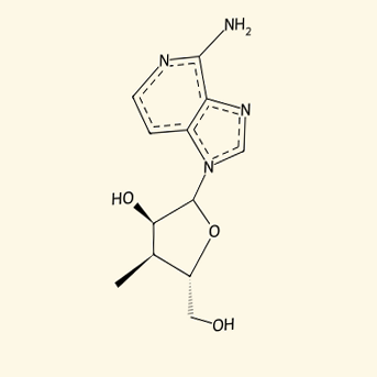 C[C@@H]1[C@@H](CO)OC(n2cnc3c(N)nccc32)[C@@H]1O